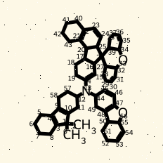 CC1(C)C2=C(CCCC2)C2=C1CC(N(C1=CC3C(CC1)C1C4=C(C=CC1C31C3CCC=CC3OC3C=CCCC31)CCCC4)C1C=CC3=C(C1)C1CCC=CC1O3)CC2